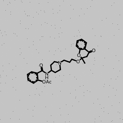 CC(=O)Oc1ccccc1C(=O)NC1CCN(CCCOC2(C)CC(=O)c3ccccc3O2)CC1